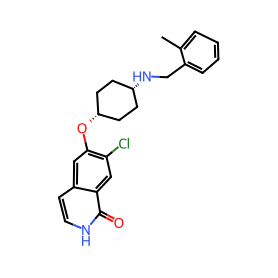 Cc1ccccc1CN[C@H]1CC[C@@H](Oc2cc3cc[nH]c(=O)c3cc2Cl)CC1